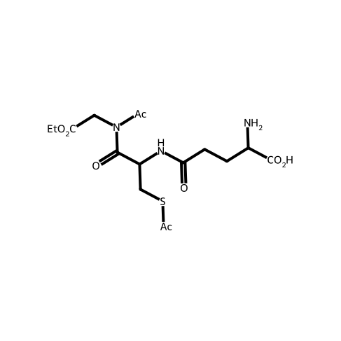 CCOC(=O)CN(C(C)=O)C(=O)C(CSC(C)=O)NC(=O)CCC(N)C(=O)O